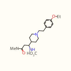 CCOc1ccc(CCN2CCC(C(CC(=O)NC)NC(=O)O)CC2)cc1